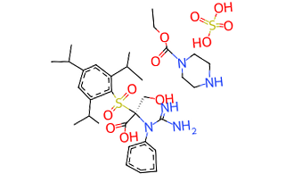 CC(C)c1cc(C(C)C)c(S(=O)(=O)[C@](CO)(C(=O)O)N(C(=N)N)c2ccccc2)c(C(C)C)c1.CCOC(=O)N1CCNCC1.O=S(=O)(O)O